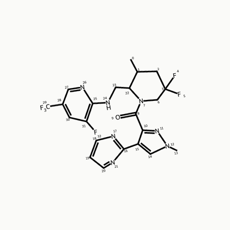 CC1CC(F)(F)CN(C(=O)c2nn(C)cc2-c2ncccn2)C1CNc1ncc(C(F)(F)F)cc1F